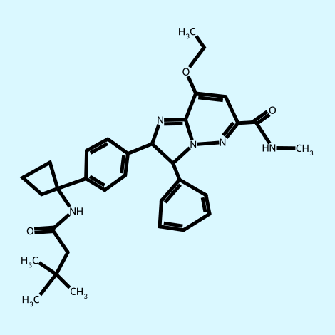 CCOC1=CC(C(=O)NC)=NN2C1=NC(c1ccc(C3(NC(=O)CC(C)(C)C)CCC3)cc1)C2c1ccccc1